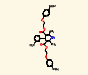 CC(=O)Nc1ccc(OCCOC(=O)C2=C(C)NC(C)=C(C(=O)OCCOc3ccc(NC(C)=O)cc3)C2c2cccc([N+](=O)[O-])c2)cc1